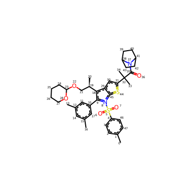 Cc1ccc(S(=O)(=O)n2c(-c3cc(C)cc(C)c3)c([C@H](C)COC3CCCCO3)c3cc(C(C)(C)C(=O)N4C5CCC4CC5)sc32)cc1